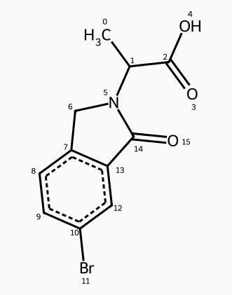 CC(C(=O)O)N1Cc2ccc(Br)cc2C1=O